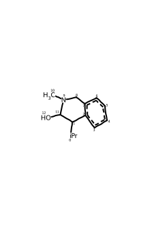 CC(C)C1c2ccccc2CN(C)C1O